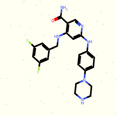 NC(=O)c1cnc(Nc2ccc(N3CCNCC3)cc2)cc1NCc1cc(F)cc(F)c1